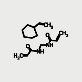 C=CC(=O)NCNC(=O)C=C.C=CC1CCCCC1